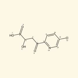 O=C(CC(O)C(=O)O)c1ccc(Cl)cn1